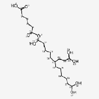 O=C(O)CCCCC(=O)OC(O)CCCCC(CCCCCC(O)O)CCC(O)O